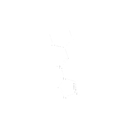 COC(C=Nn1cnnc1)OC